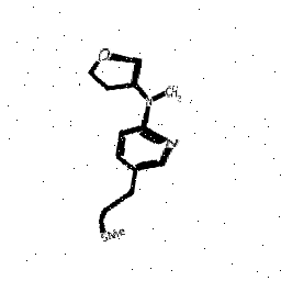 CSCCc1ccc(N(C)C2CCOC2)nc1